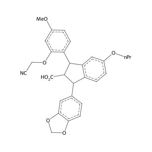 CCCOc1ccc2c(c1)C(c1ccc(OC)cc1OCC#N)C(C(=O)O)C2c1ccc2c(c1)OCO2